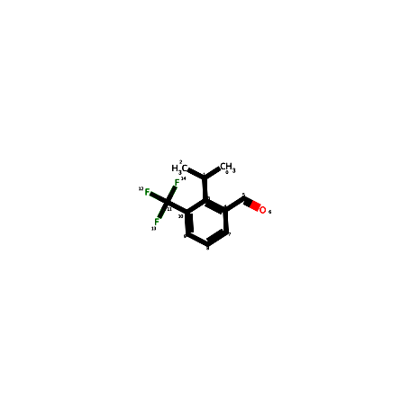 CC(C)c1c(C=O)cccc1C(F)(F)F